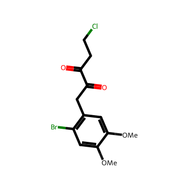 COc1cc(Br)c(CC(=O)C(=O)CCCl)cc1OC